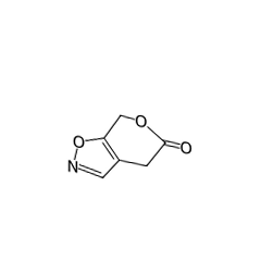 O=C1Cc2cnoc2CO1